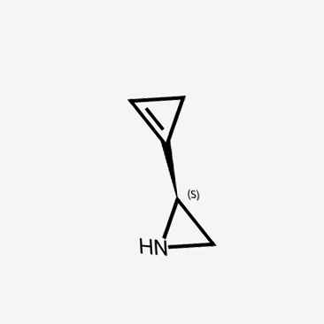 C1=C([C@H]2CN2)C1